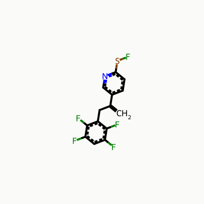 C=C(Cc1c(F)c(F)cc(F)c1F)c1ccc(SF)nc1